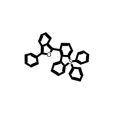 c1ccc(-c2oc(-c3cccc4c3-c3ccccc3S4(c3ccccc3)c3ccccc3)c3ccccc23)cc1